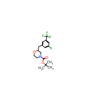 CC(C)(C)OC(=O)N1CCOC(Cc2cc(F)cc(C(F)(F)F)c2)C1